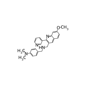 COc1ccc2cc(CNCc3ccc(N(C)C)cc3)c(-c3cccnc3)nc2c1